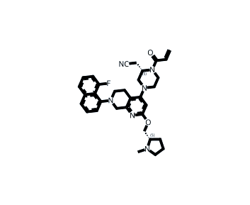 C=CC(=O)N1CCN(c2cc(OC[C@@H]3CCCN3C)nc3c2CCN(c2cccc4cccc(F)c24)C3)C[C@@H]1CC#N